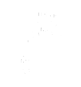 CC1(C)c2ccccc2-c2c(N(c3ccc(-c4ccccc4)cc3)c3ccc(-c4ccc5oc6cc7nc(-c8ccccc8)oc7cc6c5c4)cc3)cccc21